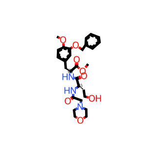 COC(=O)[C@H](Cc1ccc(OC)c(OCc2ccccc2)c1)NC(=O)[C@H](CCO)NC(=O)CN1CCOCC1